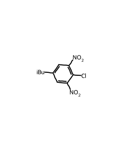 CCC(C)c1cc([N+](=O)[O-])c(Cl)c([N+](=O)[O-])c1